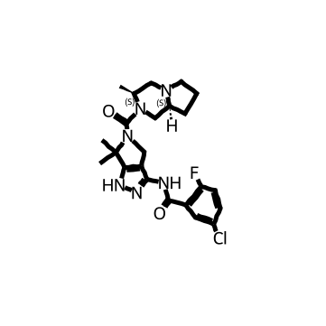 C[C@H]1CN2CCC[C@H]2CN1C(=O)N1Cc2c(NC(=O)c3cc(Cl)ccc3F)n[nH]c2C1(C)C